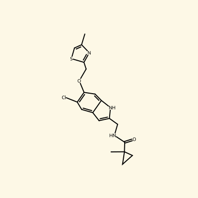 Cc1csc(COc2cc3[nH]c(CNC(=O)C4(C)CC4)cc3cc2Cl)n1